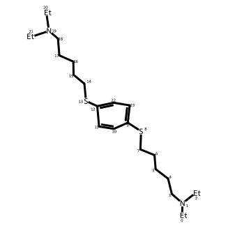 CCN(CC)CCCCCSc1ccc(SCCCCCN(CC)CC)cc1